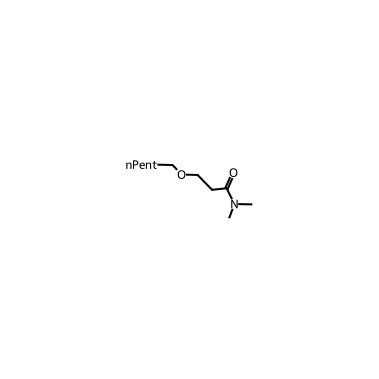 CCCCCCOCCC(=O)N(C)C